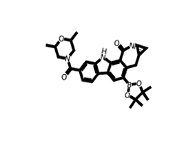 CC1CN(C(=O)c2ccc3c(c2)[nH]c2c(C(N)=O)c(CC4CC4)c(B4OC(C)(C)C(C)(C)O4)cc23)CC(C)O1